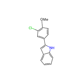 COc1ccc(-c2cc3ccccc3[nH]2)cc1Cl